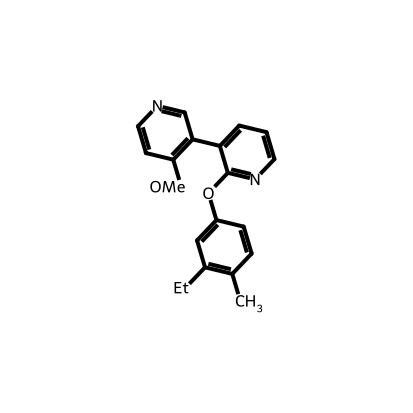 CCc1cc(Oc2ncccc2-c2cnccc2OC)ccc1C